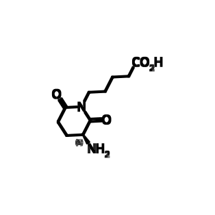 N[C@H]1CCC(=O)N(CCCCC(=O)O)C1=O